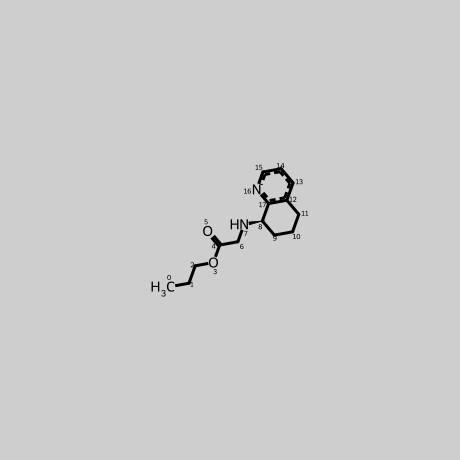 CCCOC(=O)CN[C@@H]1CCCc2cccnc21